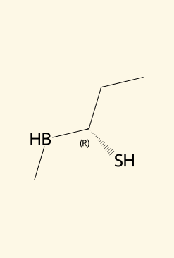 CB[C@@H](S)CC